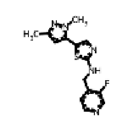 Cc1cc(-c2cnc(NCc3ccncc3F)s2)n(C)n1